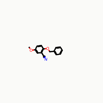 COc1ccc(OCc2ccccc2)c(C#N)c1